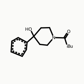 CCC(C)C(=O)N1CCC(O)(c2ccccc2)CC1